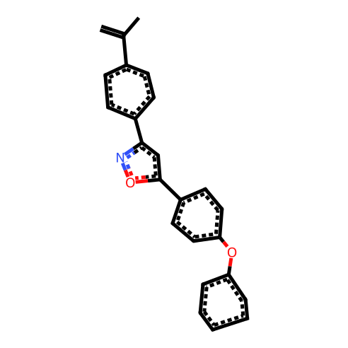 C=C(C)c1ccc(-c2cc(-c3ccc(Oc4ccccc4)cc3)on2)cc1